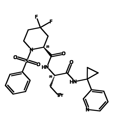 CC(C)C[C@H](NC(=O)[C@@H]1CC(F)(F)CCN1S(=O)(=O)c1ccccc1)C(=O)NC1(c2cccnc2)CC1